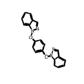 c1ccc2c(c1)cnn2Oc1ccc(On2ncc3ccccc32)cc1